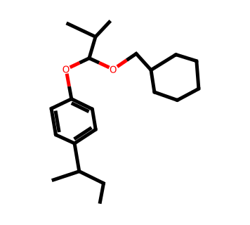 CCC(C)c1ccc(OC(OCC2CCCCC2)C(C)C)cc1